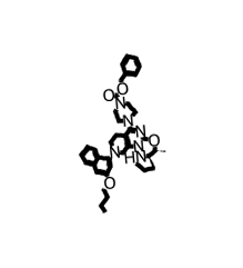 CCCCOc1cc(N2CCc3c(nc(O[C@H](C)[C@H]4CCCN4)nc3N3CCN(C(=O)OCc4ccccc4)CC3)C2)c2ccccc2c1